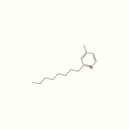 CCCCCCCCc1cc(C)ccn1